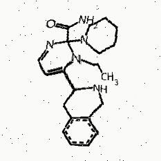 CCN1C(C2Cc3ccccc3CN2)=CC=NC1(C(N)=O)N1CCCCC1